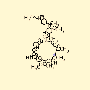 C=CCn1ccc2cc(N(C)C3CCC(C=C(C)C4OC(=O)C5CCCCN5C(=O)C(=O)C5(O)OC(C(OC)CC(C)C/C(C)=C/C(CC)C(=O)CCC4C)C(OC)CC5C)CC3OC)ccc21